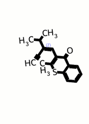 C#C/C(=C\c1c(C)sc2ccccc2c1=O)C(C)C